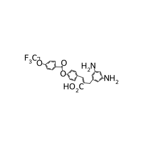 Nc1cc(N)cc(CC(=Cc2ccc(OC(=O)c3ccc(OCC(F)(F)F)cc3)cc2)C(=O)O)c1